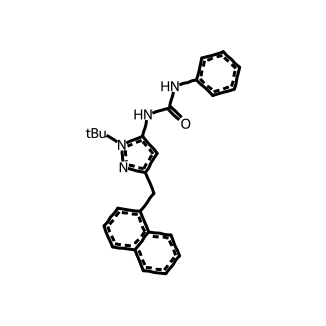 CC(C)(C)n1nc(Cc2cccc3ccccc23)cc1NC(=O)Nc1ccccc1